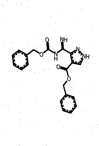 N=C(NC(=O)OCc1ccccc1)c1n[nH]cc1C(=O)OCc1ccccc1